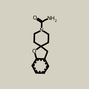 NC(=O)N1CCC2(CC1)Cc1ccccc1O2